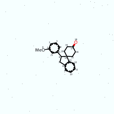 COc1cccc(C2Cc3ccccc3C23CCC(=O)CC3)c1